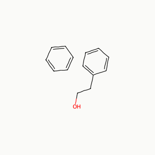 OCCc1ccccc1.c1ccccc1